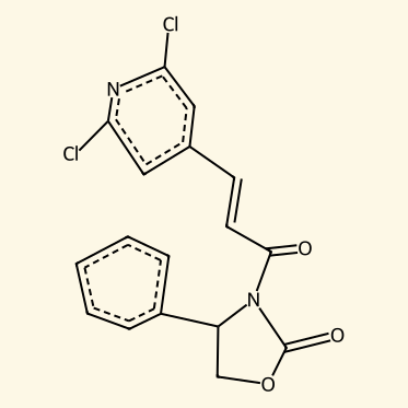 O=C(C=Cc1cc(Cl)nc(Cl)c1)N1C(=O)OCC1c1ccccc1